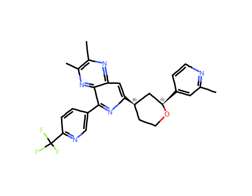 Cc1cc([C@@H]2C[C@H](c3cc4nc(C)c(C)nc4c(-c4ccc(C(F)(F)F)nc4)n3)CCO2)ccn1